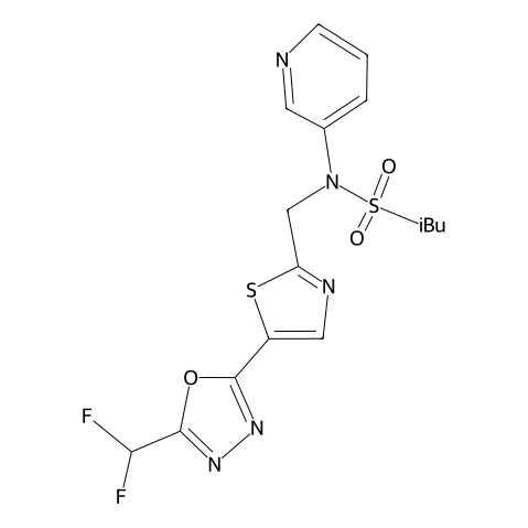 CCC(C)S(=O)(=O)N(Cc1ncc(-c2nnc(C(F)F)o2)s1)c1cccnc1